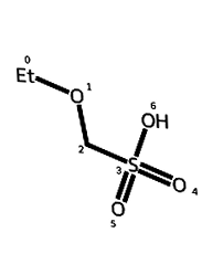 [CH2]COCS(=O)(=O)O